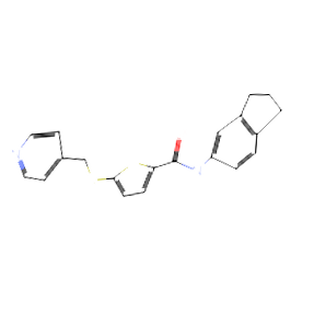 O=C(Nc1ccc2c(c1)CCC2)c1ccc(SCc2ccncc2)s1